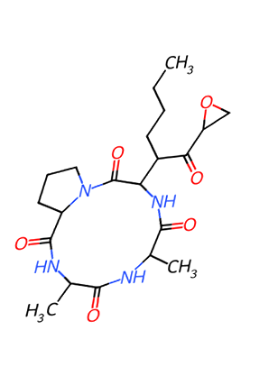 CCCCC(C(=O)C1CO1)C1NC(=O)C(C)NC(=O)C(C)NC(=O)C2CCCN2C1=O